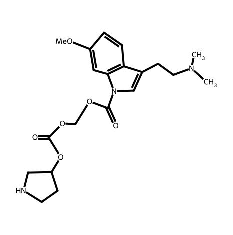 COc1ccc2c(CCN(C)C)cn(C(=O)OCOC(=O)OC3CCNC3)c2c1